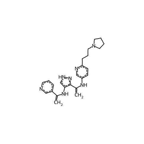 C=C(Nc1c[nH]nc1C(=C)Nc1ccc(CCCN2CCCC2)nc1)c1cccnc1